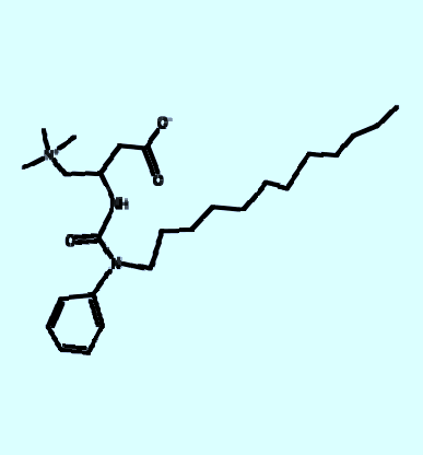 CCCCCCCCCCCCN(C(=O)NC(CC(=O)[O-])C[N+](C)(C)C)c1ccccc1